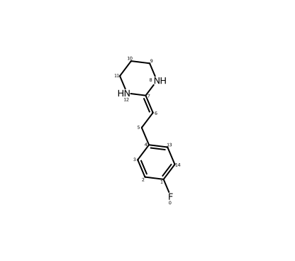 Fc1ccc(CC=C2NCCCN2)cc1